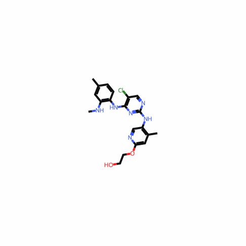 CNc1cc(C)ccc1Nc1nc(Nc2cnc(OCCO)cc2C)ncc1Cl